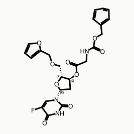 O=C(CNC(=O)OCc1ccccc1)O[C@H]1C[C@H](n2cc(F)c(=O)[nH]c2=O)O[C@@H]1COCc1ccco1